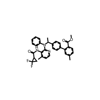 COC(=O)c1ccc(C)cc1-c1ccc(C(C)N(c2ccccc2)c2nccc(C)c2NC(=O)C2CC2(F)F)cc1